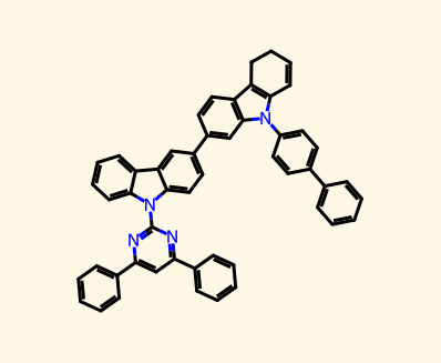 C1=Cc2c(c3ccc(-c4ccc5c(c4)c4ccccc4n5-c4nc(-c5ccccc5)cc(-c5ccccc5)n4)cc3n2-c2ccc(-c3ccccc3)cc2)CC1